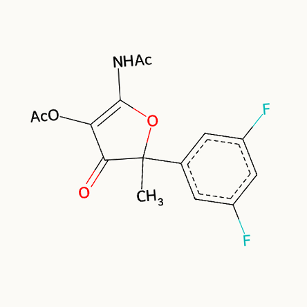 CC(=O)NC1=C(OC(C)=O)C(=O)C(C)(c2cc(F)cc(F)c2)O1